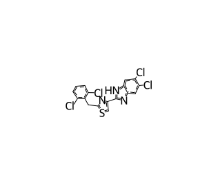 Clc1cc2nc(-c3csc(Cc4c(Cl)cccc4Cl)n3)[nH]c2cc1Cl